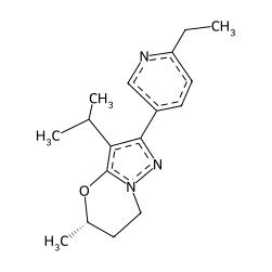 CCc1ccc(-c2nn3c(c2C(C)C)O[C@@H](C)CC3)cn1